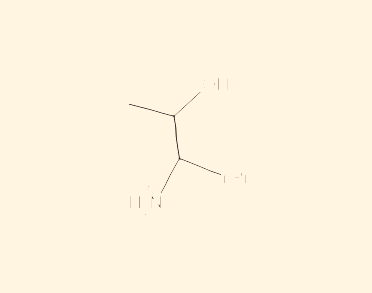 [CH2]C(O)C(N)CCC